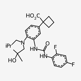 CC(C)CN(CC(C)(C)O)c1ccc(C2(C(=O)O)CCC2)cc1NC(=O)Nc1ccc(F)cc1F